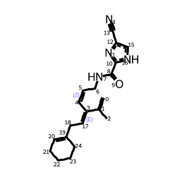 C=C(C)C(/C=C\CNC(=O)c1nc(C#N)c[nH]1)=C/CC1=CCCCC1